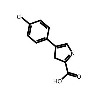 O=C(O)C1=NC=C(c2ccc(Cl)cc2)C1